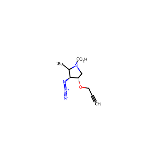 C#CCO[C@H]1CN(C(=O)O)C(C(C)(C)C)[C@@H]1N=[N+]=[N-]